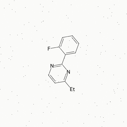 CCc1ccnc(-c2ccccc2F)n1